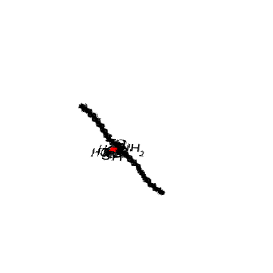 CCCCCCCCCCCCCCCCCC(=O)C(N)C(O)C(=O)CCCCCCCCCCCCCCCCC.O=P(O)(O)O